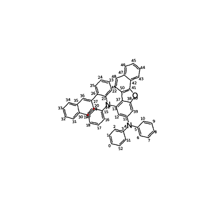 c1ccc(N(c2ccccc2)c2cc(N(c3ccccc3)c3ccccc3-c3ccc4ccccc4c3)c3c(c2)oc2c4ccccc4ccc23)cc1